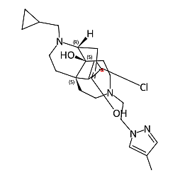 Cc1cnn(CCN2CC[C@]34CCN(CC5CC5)[C@H](Cc5cc(Cl)c(O)cc53)[C@]4(O)CC2)c1